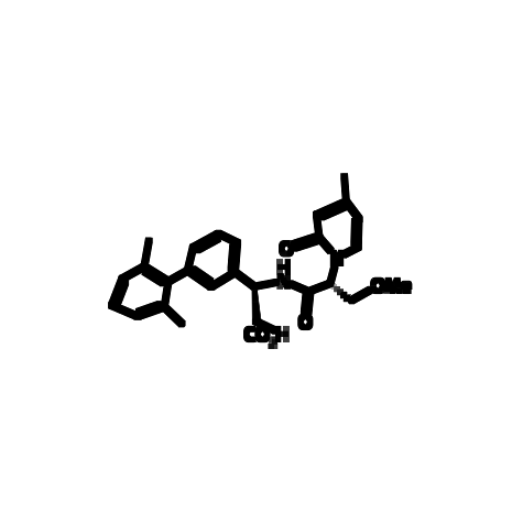 COC[C@H](C(=O)N[C@@H](CC(=O)O)c1cccc(-c2c(C)cccc2C)c1)n1ccc(C)cc1=O